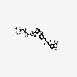 CN(C)CCNC(=O)C1CNC(c2cc(Oc3cccc(CCC(=O)Nc4ccc(Cl)c(C(F)(F)F)c4)c3)ccn2)=N1